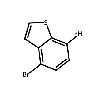 [2H]c1ccc(Br)c2ccsc12